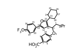 CC(C)CC(Oc1ccc(C(=O)O)cc1)c1cc(-c2ccc(C(F)(F)F)cc2)oc1C1CCCCC1